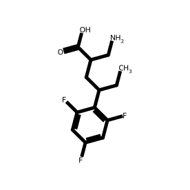 CCC(CC(CN)C(=O)O)c1c(F)cc(F)cc1F